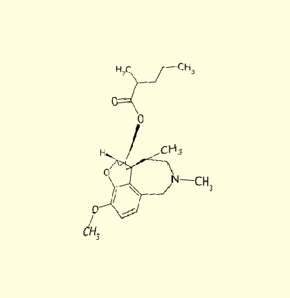 CCCC(C)C(=O)O[C@@H]1C[C@@H]2Oc3c(OC)ccc4c3[C@]2(CCN(C)C4)C1C